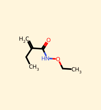 C=C(CC)C(=O)NOCC